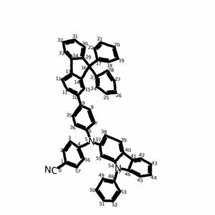 N#Cc1ccc(N(c2ccc(-c3ccc4c(c3)C(c3ccccc3)(c3ccccc3)c3ccccc3-4)cc2)c2ccc3c4ccccc4n(-c4ccccc4)c3c2)cc1